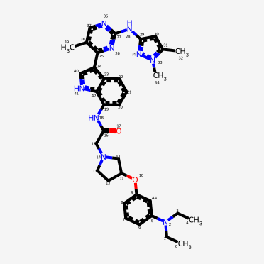 CCN(CC)c1cccc(OC2CCN(CC(=O)Nc3cccc4c(-c5nc(Nc6cc(C)n(C)n6)ncc5C)c[nH]c34)C2)c1